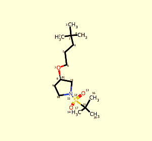 CC(C)(C)CCCO[C@@H]1CCN(S(=O)(=O)C(C)(C)C)C1